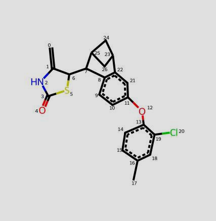 C=C1NC(=O)SC1C1c2ccc(Oc3ccc(C)cc3Cl)cc2C2CC1C2